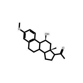 COc1ccc2c(c1)CCC1C2[C@@H](O)C[C@]2(C)C(C(C)=O)CCC12